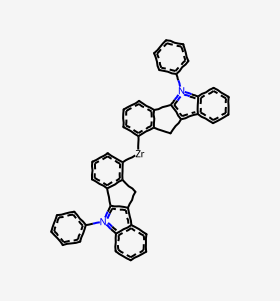 c1ccc(-n2c3c(c4ccccc42)Cc2[c]([Zr][c]4cccc5c4Cc4c-5n(-c5ccccc5)c5ccccc45)cccc2-3)cc1